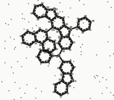 c1ccc(N(c2ccc3sc4ccccc4c3c2)c2ccc3c(c2)c2c(-c4cc5ccccc5c5ccccc45)c4c(cc2n3-c2ccccc2)oc2ccccc24)cc1